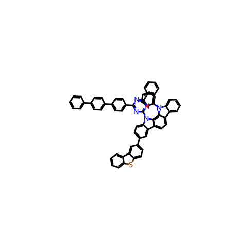 c1ccc(-c2ccc(-c3ccc(-c4nc(-c5ccccc5)nc(-n5c6ccc(-c7ccc8sc9ccccc9c8c7)cc6c6ccc7c8ccccc8n(-c8ccccc8)c7c65)n4)cc3)cc2)cc1